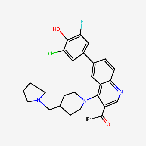 CC(C)C(=O)c1cnc2ccc(-c3cc(F)c(O)c(Cl)c3)cc2c1N1CCC(CN2CCCC2)CC1